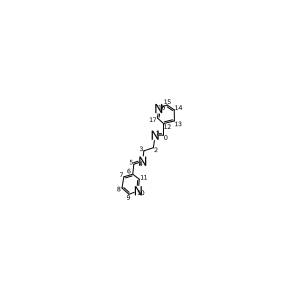 C(=NCCN=Cc1cccnc1)c1cccnc1